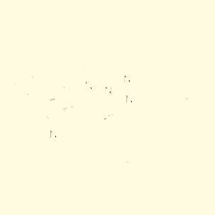 c1ccc(-c2cccc(C3=NC(c4ccccc4-n4c5ccccc5c5c(-c6cccc7c6c6ccc(-c8ccccc8)cc6n7-c6ccccc6)cccc54)NC(c4cccc(-c5ccccc5)c4)=N3)c2)cc1